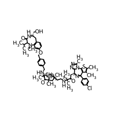 Cc1sc2c(c1C)C(c1ccc(Cl)cc1)=N[C@@H](CC(=O)C(C)(C)NCCC(C)(N)CC(C)(C)C(=O)C(C)(C)NCc1ccc(COc3ccc4c(c3)N(C)C(C(C)C)C(=O)N[C@H](CO)C4)cc1)c1nnc(C)n1-2